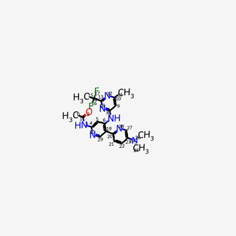 CC(=O)Nc1cc(Nc2cc(C)nc(C(C)(F)F)n2)c(-c2ccc(N(C)C)cn2)cn1